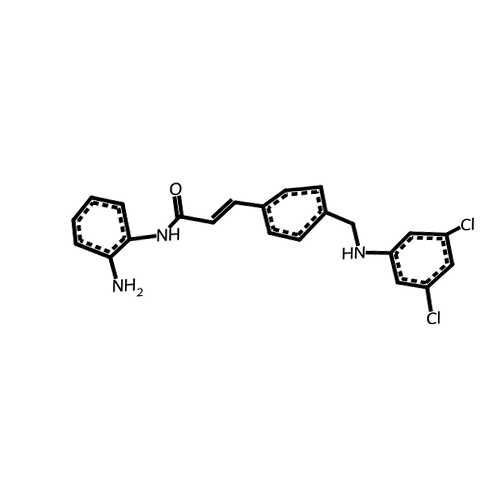 Nc1ccccc1NC(=O)/C=C/c1ccc(CNc2cc(Cl)cc(Cl)c2)cc1